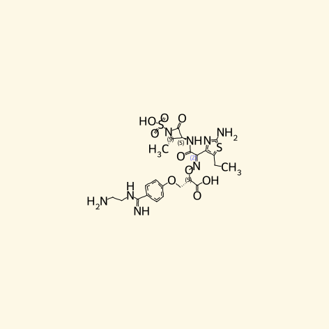 CCc1sc(N)nc1/C(=N/O[C@@H](COc1ccc(C(=N)NCCN)cc1)C(=O)O)C(=O)N[C@@H]1C(=O)N(S(=O)(=O)O)[C@H]1C